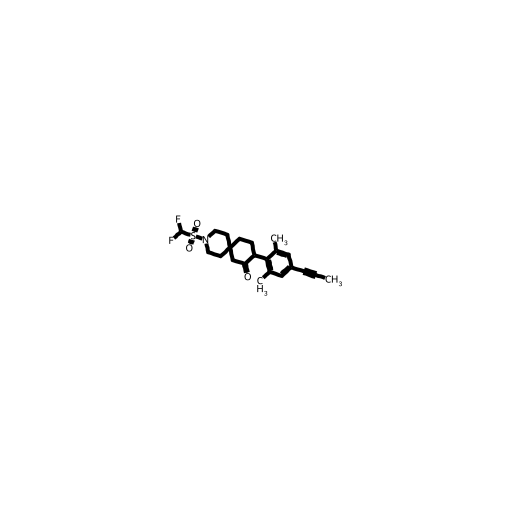 CC#Cc1cc(C)c(C2CCC3(CCN(S(=O)(=O)C(F)F)CC3)CC2=O)c(C)c1